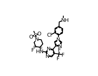 CNCc1ccc(-n2cnc(-c3nc(N[C@@H]4CCN(S(C)(=O)=O)C[C@H]4F)ncc3C(F)(F)F)c2)c(Cl)c1